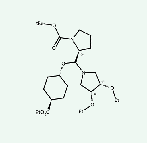 CCOC(=O)[C@H]1CC[C@H](OC([C@@H]2CCCN2C(=O)OC(C)(C)C)N2C[C@H](OCC)[C@H](OCC)C2)CC1